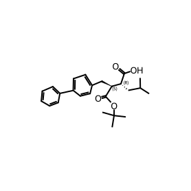 CC(C)C[C@@H](C(=O)O)[C@H](Cc1ccc(-c2ccccc2)cc1)C(=O)OC(C)(C)C